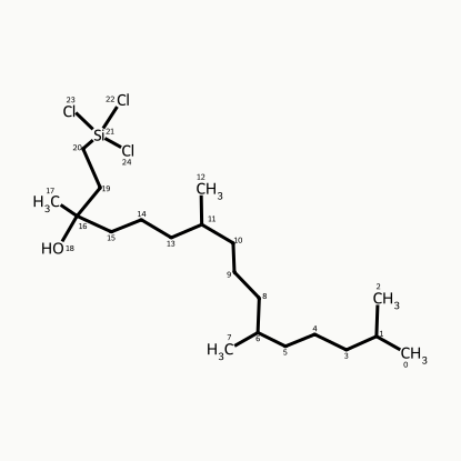 CC(C)CCCC(C)CCCC(C)CCCC(C)(O)CC[Si](Cl)(Cl)Cl